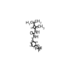 CC1=C(NC(=O)NCc2cccc(OC(F)(F)F)c2)CC1C(C)C